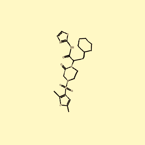 Cc1cc(S(=O)(=O)N2CCN(C(CC3CCCCC3)C(=O)Nc3nccs3)C(=O)C2)c(C)o1